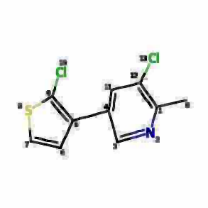 Cc1ncc(-c2ccsc2Cl)cc1Cl